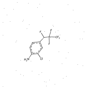 Nc1ccc(C(F)C(F)(F)C(F)(F)F)cc1Cl